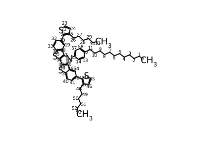 CCCCCCCCCCCCc1ccc(-n2c3c4cc(-c5sccc5CCCCCC)ccc4sc3c3sc4ccc(-c5sccc5CCCCCC)cc4c32)cc1